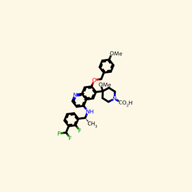 COc1ccc(COc2cc3nccc(N[C@H](C)c4cccc(C(F)F)c4F)c3cc2C2(OC)CCN(C(=O)O)CC2)cc1